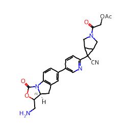 CC(=O)OCC(=O)N1CC2C(C1)C2(C#N)c1ccc(-c2ccc3c(c2)C[C@H]2C(CN)OC(=O)N32)cn1